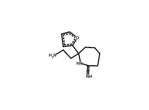 N=C1CCCCC(CCN)(c2ccco2)N1